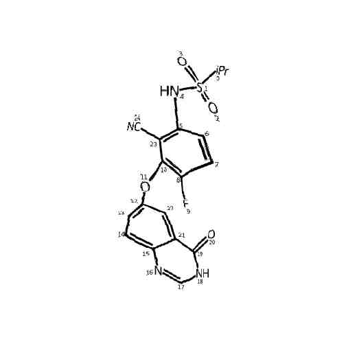 CC(C)S(=O)(=O)Nc1ccc(F)c(Oc2ccc3nc[nH]c(=O)c3c2)c1C#N